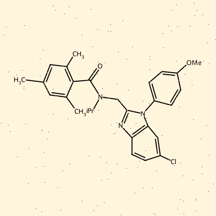 COc1ccc(-n2c(CN(C(=O)c3c(C)cc(C)cc3C)C(C)C)nc3ccc(Cl)cc32)cc1